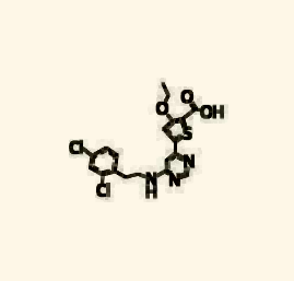 CCOc1cc(-c2cc(NCCc3ccc(Cl)cc3Cl)ncn2)sc1C(=O)O